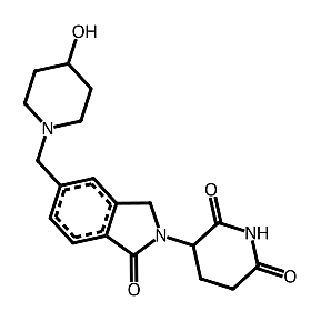 O=C1CCC(N2Cc3cc(CN4CCC(O)CC4)ccc3C2=O)C(=O)N1